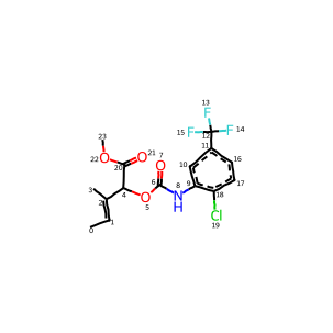 CC=C(C)C(OC(=O)Nc1cc(C(F)(F)F)ccc1Cl)C(=O)OC